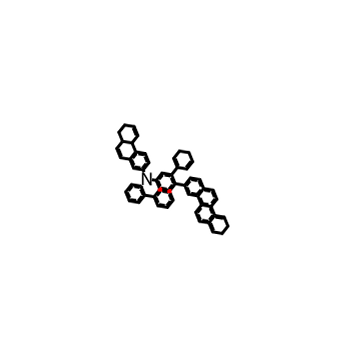 C1=CC(c2cc(N(c3ccc4c(c3)C=CC3CCC=CC43)c3ccccc3-c3ccccc3)ccc2-c2ccc3ccc4c5c(ccc4c3c2)=CCCC=5)=CCC1